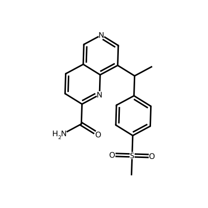 CC(c1ccc(S(C)(=O)=O)cc1)c1cncc2ccc(C(N)=O)nc12